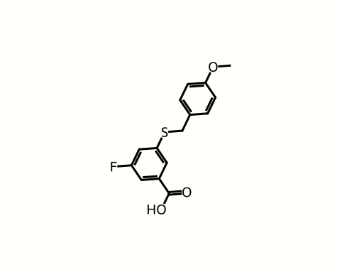 COc1ccc(CSc2cc(F)cc(C(=O)O)c2)cc1